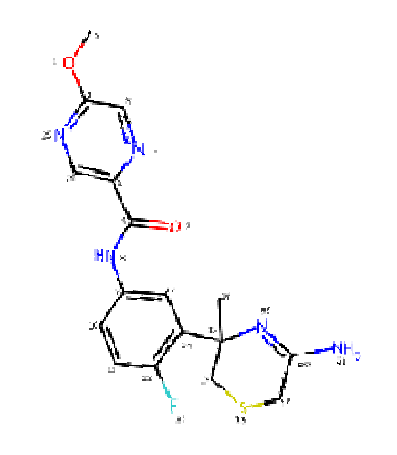 COc1cnc(C(=O)Nc2ccc(F)c(C3(C)CSCC(N)=N3)c2)cn1